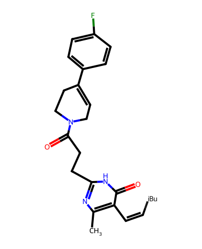 CCC(C)/C=C\c1c(C)nc(CCC(=O)N2CC=C(c3ccc(F)cc3)CC2)[nH]c1=O